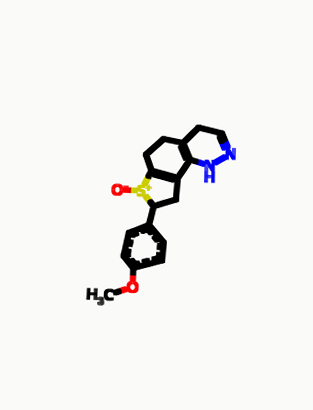 COc1ccc(C2CC3=C(CCC4=C3NN=CC4)[S+]2[O-])cc1